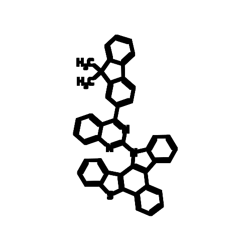 CC1(C)c2ccccc2-c2ccc(-c3nc(-n4c5ccccc5c5c6ccccc6c6sc7ccccc7c6c54)nc4ccccc34)cc21